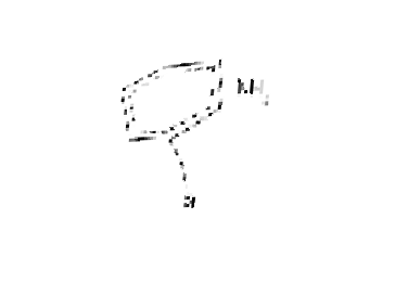 Brc1ccccc1.N